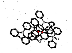 O=P1(c2ccccc2)c2ccccc2C2(c3ccccc3N(c3ccccc3)c3cc(-c4cccc(-n5c6ccccc6c6cccc(-c7ccc8c(c7)c7ccccc7n8-c7ccccc7)c65)c4)ccc32)c2cc3c(cc21)oc1ccccc13